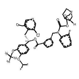 [2H]C([2H])([2H])Oc1cc([C@H](Cc2c(Cl)cncc2Cl)OC(=O)c2cccc(CN(C(=O)O[C@H]3CN4CCC3CC4)c3ccccc3F)c2)ccc1OC(F)F